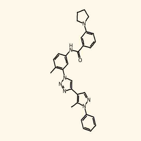 Cc1ccc(NC(=O)c2cccc(N3CCCC3)c2)cc1-n1cc(-c2cnn(-c3ccccc3)c2C)nn1